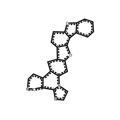 c1ccc2c(c1)oc1ccc3c4cc5c6ccncc6c6nccn6c5cc4oc3c12